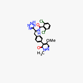 COc1cnn(C)c(=O)c1-c1ccc(C[C@H](NC(=O)c2c(Cl)cccc2Cl)c2nnn[nH]2)cc1